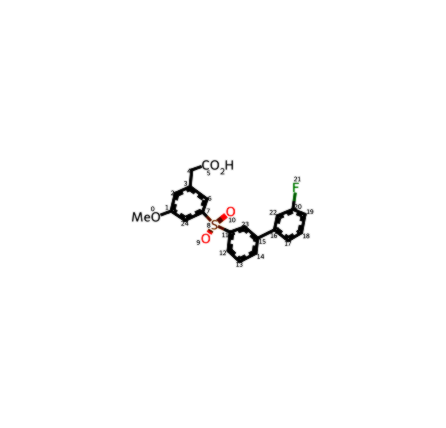 COc1cc(CC(=O)O)cc(S(=O)(=O)c2cccc(-c3cccc(F)c3)c2)c1